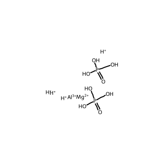 O=P(O)(O)O.O=P(O)(O)O.[Al+3].[H+].[H+].[H+].[H+].[Mg+2]